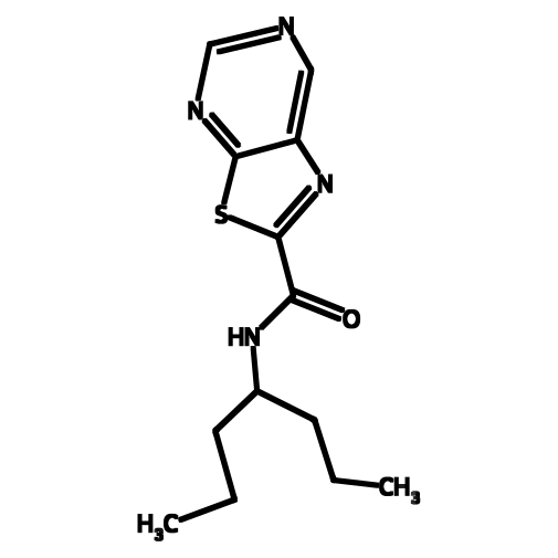 CCCC(CCC)NC(=O)c1nc2cncnc2s1